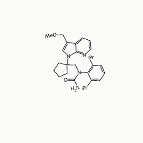 COCc1cn(C2(CN(C(N)=O)c3c(C(C)C)cccc3C(C)C)CCCC2)c2ncccc12